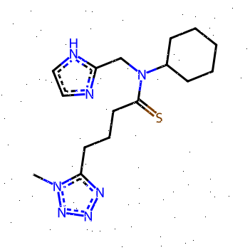 Cn1nnnc1CCCC(=S)N(Cc1ncc[nH]1)C1CCCCC1